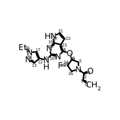 C=CC(=O)N1C[C@H](Oc2nc(Nc3cnn(CC)c3)nc3[nH]ccc23)[C@@H](F)C1